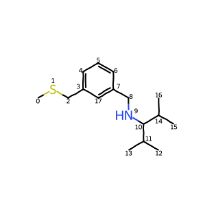 CSCc1cccc(CNC(C(C)C)C(C)C)c1